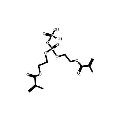 C=C(C)C(=O)OCCOP(=O)(OCCOC(=O)C(=C)C)OP(=O)(O)O